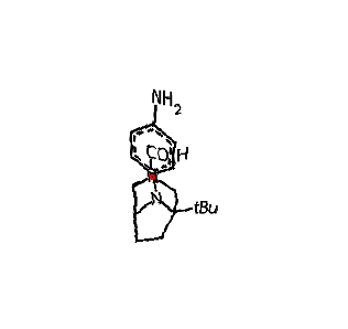 CC(C)(C)C12CCC(CN(C(=O)O)C1)N2c1ccc(N)cc1